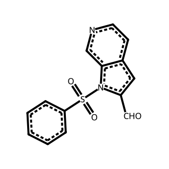 O=Cc1cc2ccncc2n1S(=O)(=O)c1ccccc1